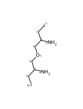 NC(CI)COCC(N)CI